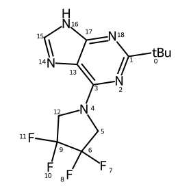 CC(C)(C)c1nc(N2CC(F)(F)C(F)(F)C2)c2nc[nH]c2n1